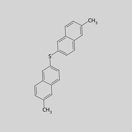 Cc1ccc2cc(Sc3ccc4cc(C)ccc4c3)ccc2c1